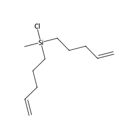 C=CCCC[Si](C)(Cl)CCCC=C